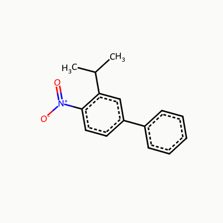 CC(C)c1cc(-c2ccccc2)ccc1[N+](=O)[O-]